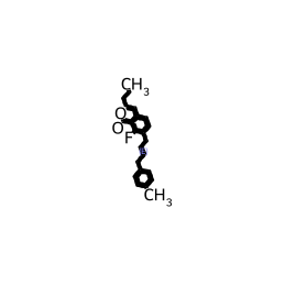 CCCc1cc2ccc(C/C=C/Cc3ccc(C)cc3)c(F)c2c(=O)o1